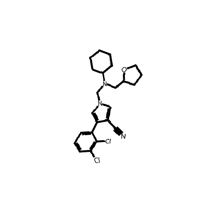 N#Cc1cn(CN(CC2CCCO2)C2CCCCC2)cc1-c1cccc(Cl)c1Cl